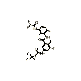 O=C(Nc1c(F)ccc(NC(=O)C(F)F)c1F)c1cc(NC(=O)C2CC2(Cl)Cl)cc(F)c1F